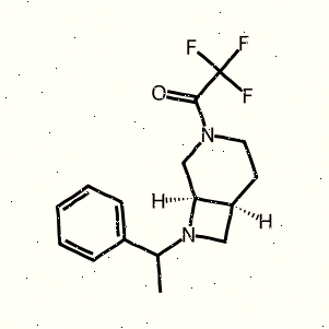 CC(c1ccccc1)N1C[C@@H]2CCN(C(=O)C(F)(F)F)C[C@@H]21